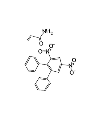 C=CC(N)=O.O=[N+]([O-])c1cc(-c2ccccc2)c(-c2ccccc2)c([N+](=O)[O-])c1